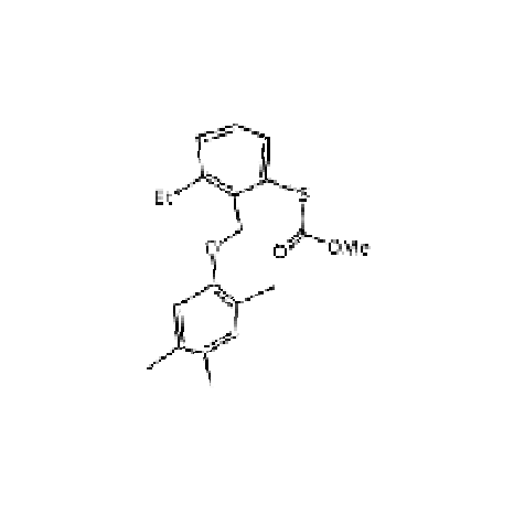 CCc1cccc(SC(=O)OC)c1COc1cc(C)c(C)cc1C